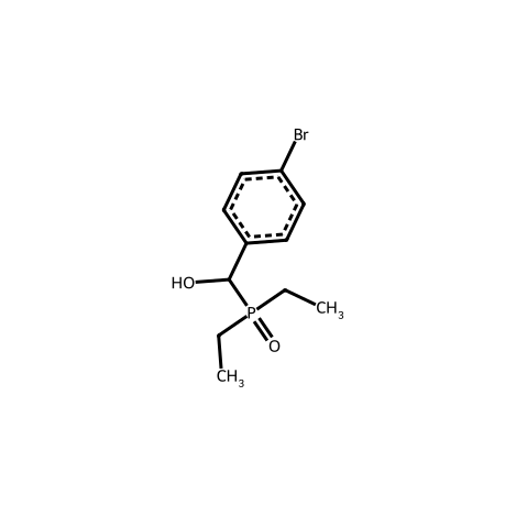 CCP(=O)(CC)C(O)c1ccc(Br)cc1